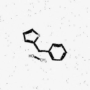 CO.c1ccc(Cc2cccs2)cc1